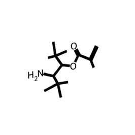 C=C(C)C(=O)OC(C(N)C(C)(C)C)C(C)(C)C